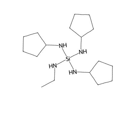 CCN[Si](NC1CCCC1)(NC1CCCC1)NC1CCCC1